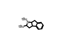 CC(C)(C)C1CC2c3ccccc3CC2N1C(C)(C)C